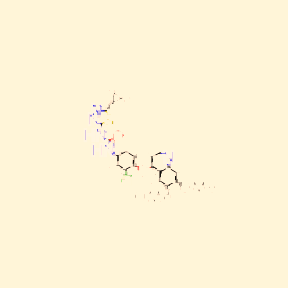 COc1cc2nccc(Oc3ccc(NC(=O)Nc4nnc(C5CC5)s4)cc3Cl)c2cc1OC